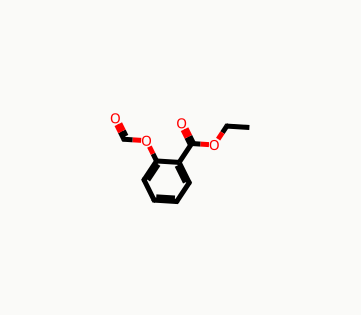 CCOC(=O)c1ccccc1OC=O